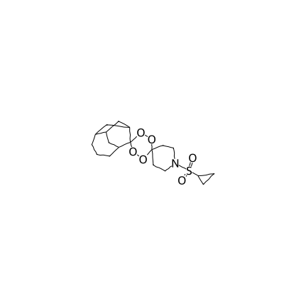 O=S(=O)(C1CC1)N1CCC2(CC1)OOC1(OO2)C2CCCC3CC1CC3C2